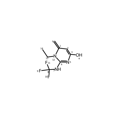 C=C1C=C(O)N=C(NC(F)(F)F)N1CC